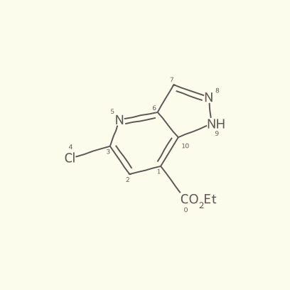 CCOC(=O)c1cc(Cl)nc2cn[nH]c12